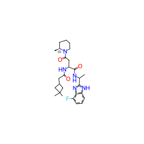 CC(NC(=O)C(CC(=O)N1CCCC[C@@H]1C)NC(=O)CC1CC(C)(C)C1)c1nc2c(F)cccc2[nH]1